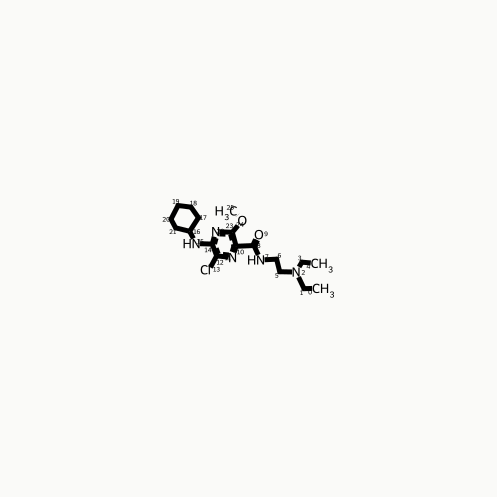 CCN(CC)CCNC(=O)c1nc(Cl)c(NC2CCCCC2)nc1OC